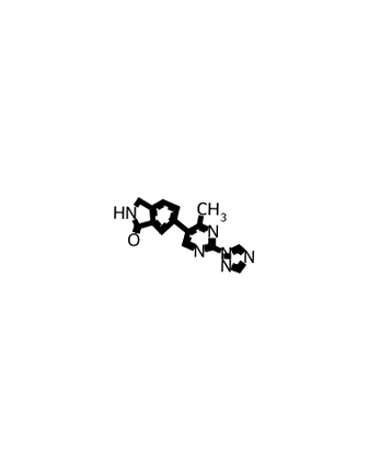 Cc1nc(-n2cncn2)ncc1-c1ccc2c(c1)C(=O)NC2